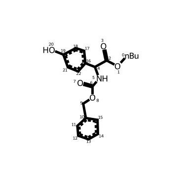 CCCCOC(=O)C(NC(=O)OCc1ccccc1)c1ccc(O)cc1